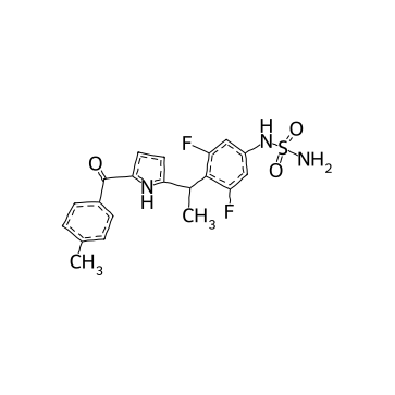 Cc1ccc(C(=O)c2ccc(C(C)c3c(F)cc(NS(N)(=O)=O)cc3F)[nH]2)cc1